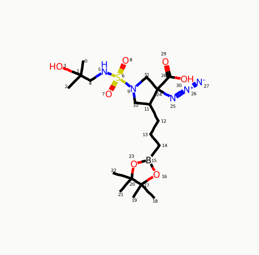 CC(C)(O)CNS(=O)(=O)N1CC(CCCB2OC(C)(C)C(C)(C)O2)C(N=[N+]=[N-])(C(=O)O)C1